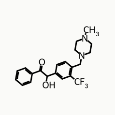 CN1CCN(Cc2ccc(C(O)C(=O)c3ccccc3)cc2C(F)(F)F)CC1